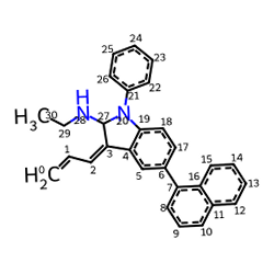 C=C/C=C1/c2cc(-c3cccc4ccccc34)ccc2N(c2ccccc2)C1NCC